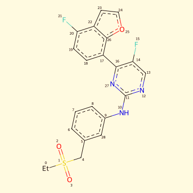 CCS(=O)(=O)Cc1cccc(Nc2ncc(F)c(-c3ccc(F)c4ccoc34)n2)c1